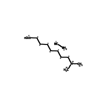 BC#N.CCCCCCCCCCCCCCCN(C)C